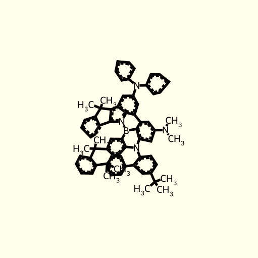 CN(C)c1cc2c3c(c1)N(c1ccc(C(C)(C)C)cc1-c1ccccc1)c1cc4c(cc1B3n1c3c(c5cc(N(c6ccccc6)c6ccccc6)cc-2c51)C(C)(C)c1ccccc1-3)C(C)(C)c1ccccc1C4(C)C